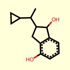 CC(C1CC1)C1Cc2c(O)cccc2C1O